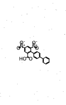 O=C(O)c1cc([N+](=O)[O-])cc([N+](=O)[O-])c1-c1ccc(-c2ccccc2)cc1